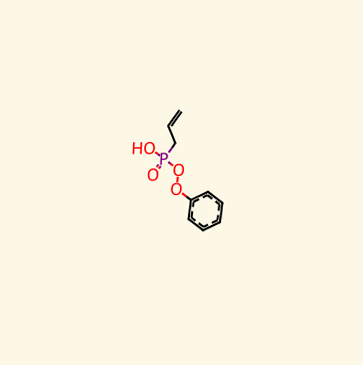 C=CCP(=O)(O)OOc1ccccc1